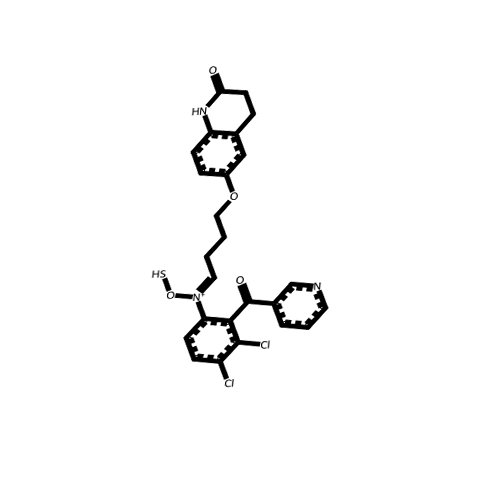 O=C1CCc2cc(OCCCC=[N+](OS)c3ccc(Cl)c(Cl)c3C(=O)c3cccnc3)ccc2N1